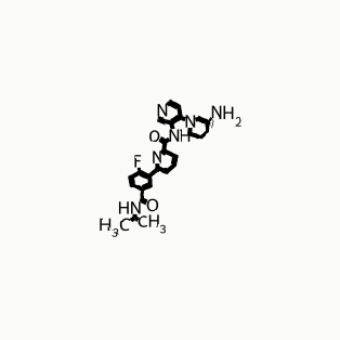 CC(C)NC(=O)c1ccc(F)c(-c2cccc(C(=O)Nc3cnccc3N3CCC[C@H](N)C3)n2)c1